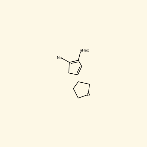 C1CCOC1.CCCCCCC1=[C]([Na])CC=C1